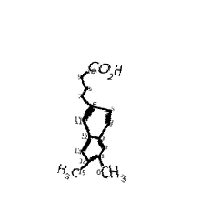 Cc1cc2ccc(CCCC(=O)O)cc2cc1C